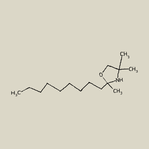 CCCCCCCCCC1(C)NC(C)(C)CO1